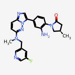 C[C@@H]1CC(=O)N(c2ccc(-c3cnc4ccc(N(C)Cc5cncc(F)c5)nn34)cc2N)C1